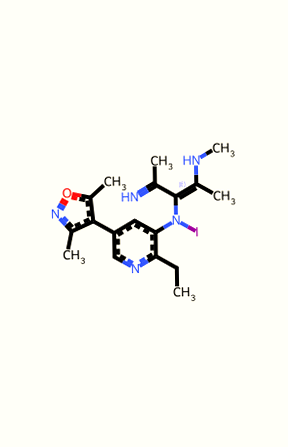 CCc1ncc(-c2c(C)noc2C)cc1N(I)/C(C(C)=N)=C(\C)NC